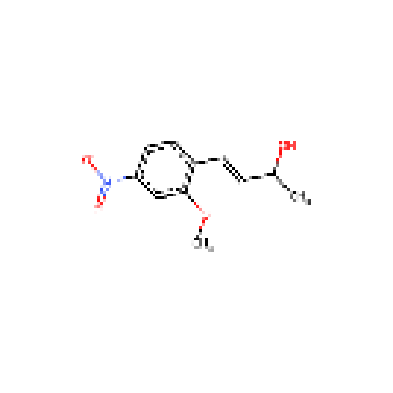 COc1cc([N+](=O)[O-])ccc1/C=C/C(C)O